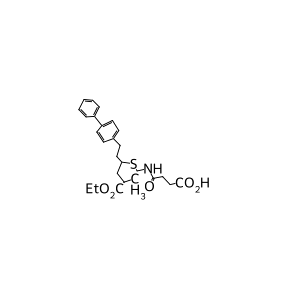 CCOC(=O)[C@H](C)CC(CCc1ccc(-c2ccccc2)cc1)SCNC(=O)CCC(=O)O